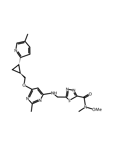 CON(C)C(=O)c1nnc(CNc2cc(OC[C@H]3C[C@@H]3c3ccc(C)cn3)nc(C)n2)s1